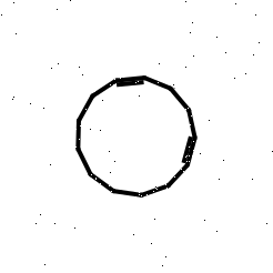 [CH]1C=CCCCCCCCC=CC1